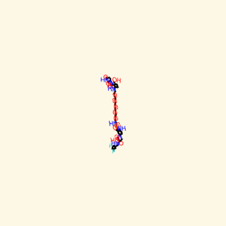 O=C1CCC(N2C(=O)c3c(NCCOCCOCCOCCOCCOCCNS(=O)(=O)c4cc5cc(N6CCC(O)(C(=O)NCc7cc(F)cc(F)c7)C6=O)ccc5[nH]4)cccc3C2O)C(=O)N1